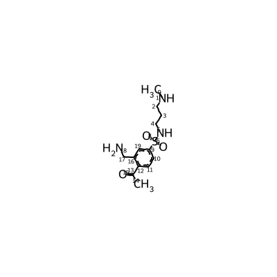 CNCCCNS(=O)(=O)c1ccc(C(C)=O)c(CN)c1